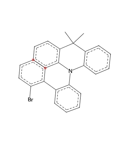 CC1(C)c2ccccc2N(c2ccccc2-c2ccccc2Br)c2ccccc21